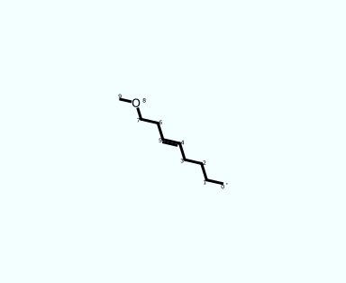 [CH2]CCCC=CCCOC